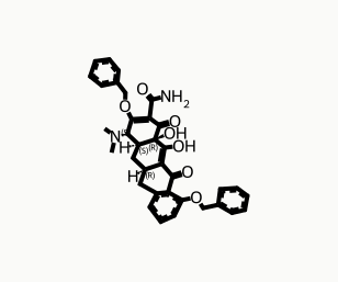 CN(C)[C@@H]1C(OCc2ccccc2)=C(C(N)=O)C(=O)[C@]2(O)C(O)=C3C(=O)c4c(cccc4OCc4ccccc4)C[C@H]3C[C@@H]12